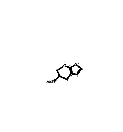 CNC1COc2sccc2C1